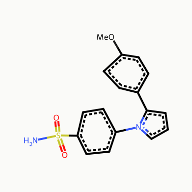 COc1ccc(-c2cccn2-c2ccc(S(N)(=O)=O)cc2)cc1